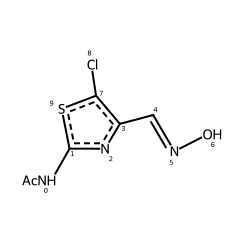 CC(=O)Nc1nc(C=NO)c(Cl)s1